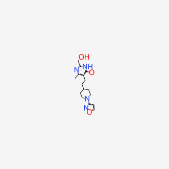 Cc1nc(CO)[nH]c(=O)c1CCC1CCN(c2ccon2)CC1